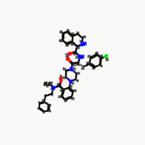 CN(CCc1ccccc1)C(=O)c1ccccc1N1CCN(C(=O)[C@@H](Cc2ccc(Cl)cc2)NC(=O)C2N[CH]Cc3ccccc32)CC1